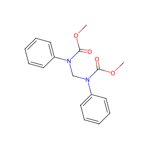 COC(=O)N(CN(C(=O)OC)c1ccccc1)c1ccccc1